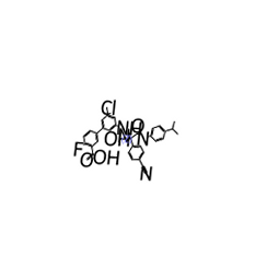 CC(C)c1ccc(N2C(=O)/C(=N\Nc3cc(Cl)cc(-c4ccc(F)c(C(=O)O)c4)c3O)c3ccc(C#N)cc32)cc1